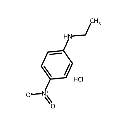 CCNc1ccc([N+](=O)[O-])cc1.Cl